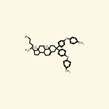 Cc1ccc(Oc2ccc(C3(c4ccc(Oc5ccc(C)cc5)cc4)CCC4(C)C(=CCC5C4CCC4(C)C(C(C)CCCC(C)C)CCC54)C3)cc2)cc1